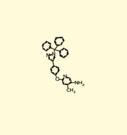 Cc1cc(Oc2ccc(-c3cnn(C(c4ccccc4)(c4ccccc4)c4ccccc4)c3)cc2)ncc1N